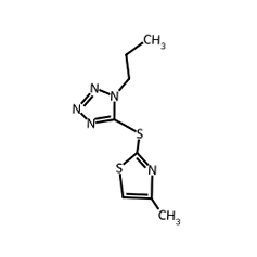 CCCn1nnnc1Sc1nc(C)cs1